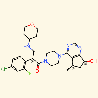 C[C@@H]1C[C@H](O)c2ncnc(N3CCN(C(=O)[C@H](CNC4CCOCC4)c4ccc(Cl)cc4F)CC3)c21